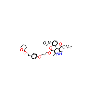 COC(=O)C1=C(C)NC(C)=C(C(=O)OCCCOc2ccc(CCOC3CCCCO3)cc2)[C@H]1c1cccc([N+](=O)[O-])c1